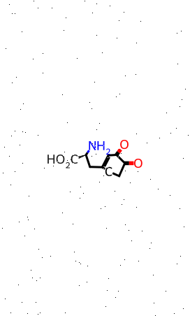 N[C@@H](CC1=CC(=O)C(=O)CC1)C(=O)O